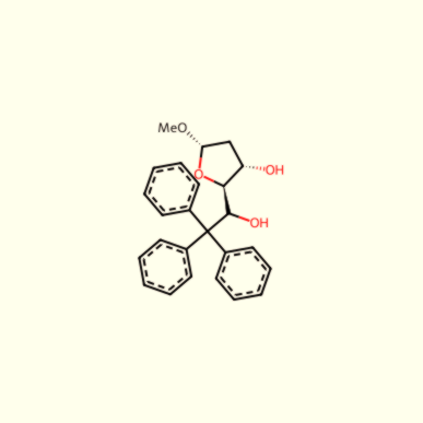 CO[C@@H]1C[C@H](O)[C@@H](C(O)C(c2ccccc2)(c2ccccc2)c2ccccc2)O1